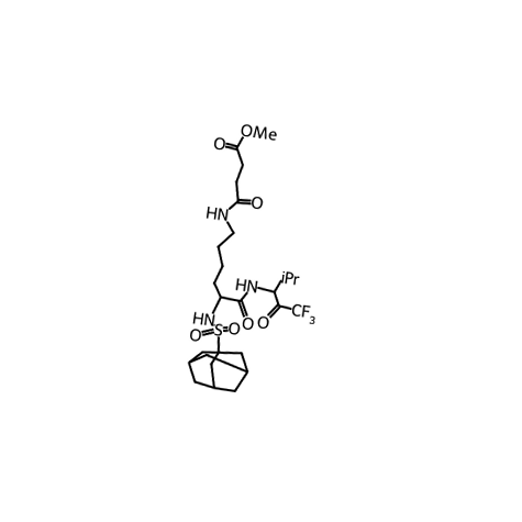 COC(=O)CCC(=O)NCCCCC(NS(=O)(=O)C12CC3CC(CC(C3)C1)C2)C(=O)NC(C(=O)C(F)(F)F)C(C)C